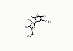 N#Cc1cn([C@H]2O[C@@H](CO)C(O)C2O)c(=O)[nH]c1=O